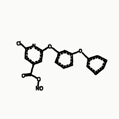 O=NOC(=O)c1cc(Cl)nc(Oc2cccc(Oc3ccccc3)c2)c1